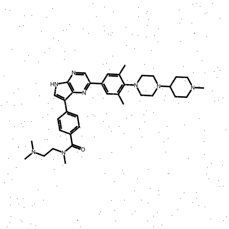 Cc1cc(-c2cnc3[nH]cc(-c4ccc(C(=O)N(C)CCN(C)C)cc4)c3n2)cc(C)c1N1CCN(C2CCN(C)CC2)CC1